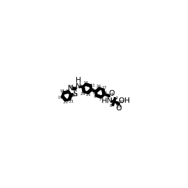 CC(C)(NC(=O)c1ccc(-c2ccc(Nc3nc4ccccc4s3)cc2)cc1)C(=O)O